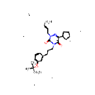 CCOC(=O)C=CCn1nc(C2CCCC2)c(=O)n(CCCc2cccc(OC(C)(C)C(=O)OCC)c2)c1=O